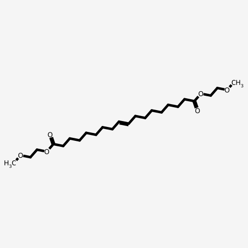 COCCOC(=O)CCCCCCC/C=C/CCCCCCCC(=O)OCCOC